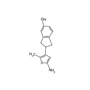 Cc1sc(N)cc1C1Cc2ccc(O)cc2C1